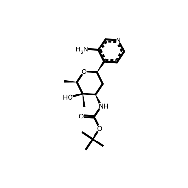 C[C@H]1O[C@@H](c2ccncc2N)C[C@@H](NC(=O)OC(C)(C)C)[C@]1(C)O